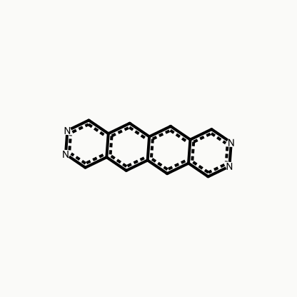 c1nncc2cc3cc4cnncc4cc3cc12